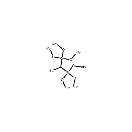 CCCCC([Si](OCCC)(OCCC)OCCC)[Si](OCCC)(OCCC)OCCC